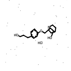 Cl.OCCCc1ccc(OCC2C(O)C3CCN2CC3)cc1